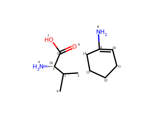 CC(C)[C@H](N)C(=O)O.NC1=CCCCC1